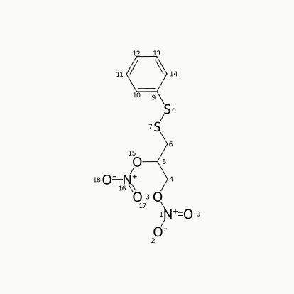 O=[N+]([O-])OCC(CSSc1ccccc1)O[N+](=O)[O-]